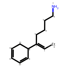 CC/C=C(\CCCCN)C1C=CC=CC1